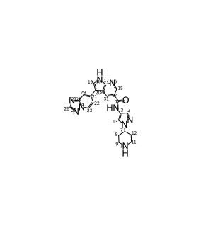 O=C(Nc1cnn(C2CCNCC2)c1)c1cnc2[nH]cc(-c3ccn4ncnc4c3)c2c1